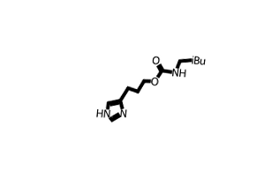 CCC(C)CNC(=O)OCCCc1c[nH]cn1